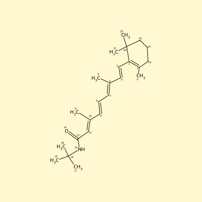 CC1=C(/C=C/C(C)=C/C=C/C(C)=C/C(=O)NC(C)(C)C)C(C)(C)CCC1